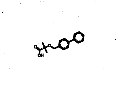 CC(C)(OCc1ccc(-c2ccccc2)cc1)C(=O)O